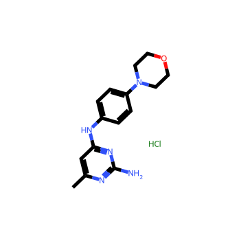 Cc1cc(Nc2ccc(N3CCOCC3)cc2)nc(N)n1.Cl